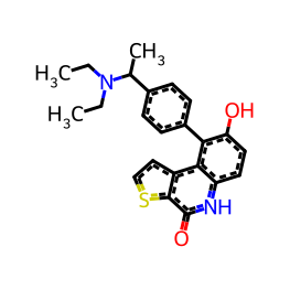 CCN(CC)C(C)c1ccc(-c2c(O)ccc3[nH]c(=O)c4sccc4c23)cc1